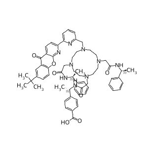 C[C@H](NC(=O)CN1CCN(CC(=O)N[C@@H](C)c2ccccc2)CCN(Cc2cccc(-c3ccc4c(=O)c5cc(C(C)(C)C)ccc5oc4n3)n2)CCN(CC(=O)N[C@@H](C)c2ccccc2)CC1)c1ccc(C(=O)O)cc1